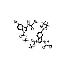 CC(C)(C)OC(=O)n1cc(NC(=O)C2CC2)c2cc(B3OC(C)(C)C(C)(C)O3)ccc21.CC(C)(C)OC(=O)n1cc(NC(=O)C2CC2)c2cc(Br)ccc21